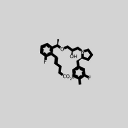 CCOC(=O)CC/C=C/c1c(F)cccc1[C@@H](C)OC[C@H](O)CN1CCC[C@H]1Cc1ccc(C)c(F)c1